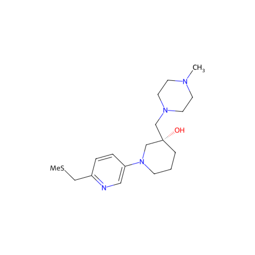 CSCc1ccc(N2CCC[C@](O)(CN3CCN(C)CC3)C2)cn1